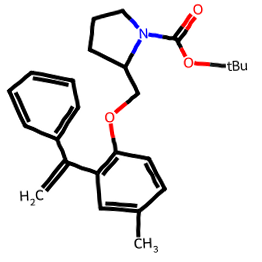 C=C(c1ccccc1)c1cc(C)ccc1OCC1CCCN1C(=O)OC(C)(C)C